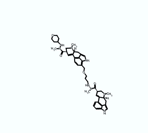 CN(NCCCOCc1ccc2c3c(c[nH]c13)C[C@@H]1C2=C[C@@H](C(=O)N(C)NC2CCOCC2)CN1C)C(=O)[C@@H]1C=C2c3cccc4[nH]cc(c34)C[C@H]2N(C)C1